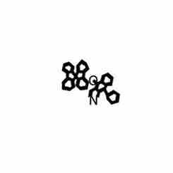 C1=CCCC(c2c3ccccc3c(Oc3cccc4c3-c3ccccc3C43c4ccccc4-c4ccccc43)c3ccncc23)=C1